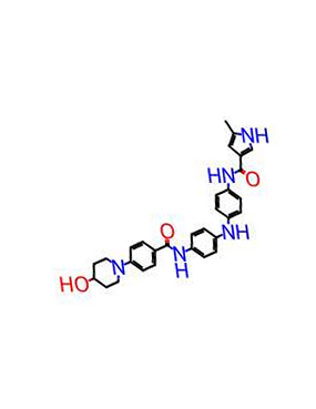 Cc1cc(C(=O)Nc2ccc(Nc3ccc(NC(=O)c4ccc(N5CCC(O)CC5)cc4)cc3)cc2)c[nH]1